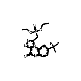 CCOP(=O)(Cc1nnc2c(=O)[nH]c3ccc(C(F)(F)F)cc3n12)OCC